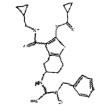 CCN(Cc1ccccc1)C(NC1CCc2sc(NC(=O)C3CC3)c(C(=O)NCC3CC3)c2C1)SC